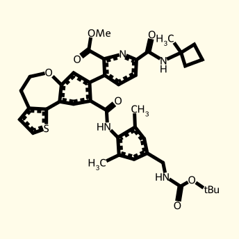 COC(=O)c1nc(C(=O)NC2(C)CCC2)ccc1-c1cc2c(cc1C(=O)Nc1c(C)cc(CNC(=O)OC(C)(C)C)cc1C)-c1sccc1CCO2